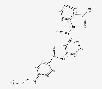 CCCOc1ccc(C(=O)Nc2cccc(C(=O)Nc3ccccc3C(=O)O)c2)cc1